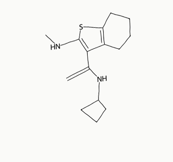 C=C(NC1CCC1)c1c(NC)sc2c1CCCC2